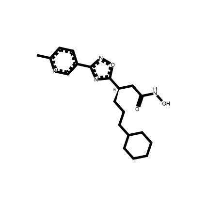 Cc1ccc(-c2noc([C@H](CCCC3CCCCC3)CC(=O)NO)n2)cn1